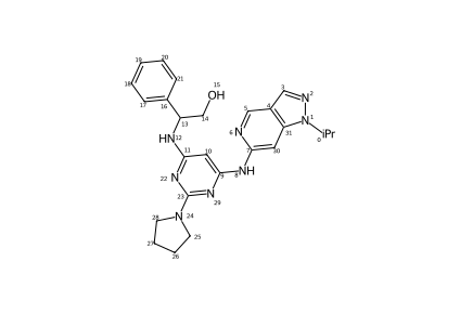 CC(C)n1ncc2cnc(Nc3cc(NC(CO)c4ccccc4)nc(N4CCCC4)n3)cc21